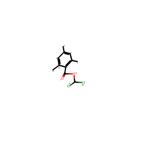 Cc1cc(C)c(C(=O)OC(Cl)Cl)c(C)c1